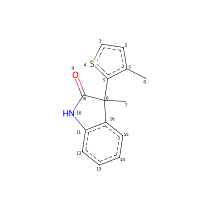 Cc1ccsc1C1(C)C(=O)Nc2ccccc21